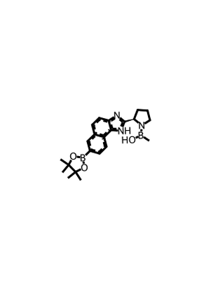 CB(O)N1CCC[C@@H]1c1nc2ccc3cc(B4OC(C)(C)C(C)(C)O4)ccc3c2[nH]1